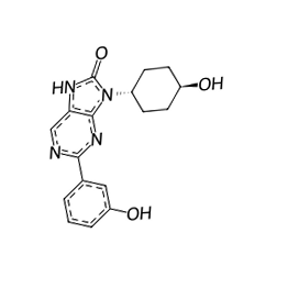 O=c1[nH]c2cnc(-c3cccc(O)c3)nc2n1[C@H]1CC[C@H](O)CC1